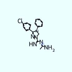 C/C(N)=N\C(=N)N1C[C@H](c2ccccc2)C(c2ccc(Cl)cc2)=N1